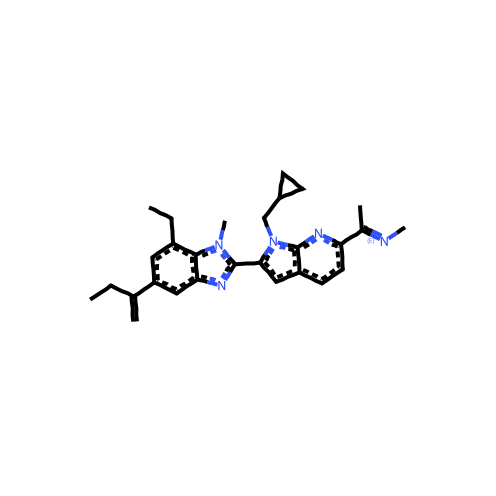 C=C(CC)c1cc(CC)c2c(c1)nc(-c1cc3ccc(/C(C)=N/C)nc3n1CC1CC1)n2C